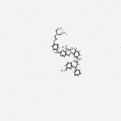 CCN(CC)CCOc1ccc(Nc2ncc3c(n2)N(C)C(=O)N(c2cc(NC(=O)CC(c4ccccc4)c4cccc(N)c4)ccc2Cl)C3)cc1